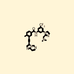 Cc1ccc(C(=O)Nc2cc(-n3ccnc3CN(C)C)cc(C(F)(F)F)c2)cc1C#Cc1cnc2ccncn12